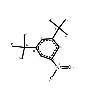 CC(C)(C)c1[c]c([N+](=O)[O-])cc(C(C)(C)C)c1